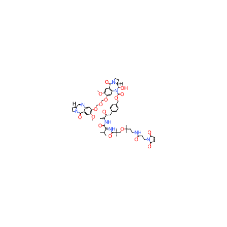 COc1cc2c(cc1OCOCOc1cc3c(cc1OC)C(=O)N1CC[C@H]1C(O)N3C(=O)OCc1ccc(CC(=O)[C@H](C)NC(=O)[C@@H](NC(=O)C(C)(C)COC(C)(C)CCNC(=O)CCN3C(=O)C=CC3=O)C(C)C)cc1)N=C[C@@H]1CCN1C2=O